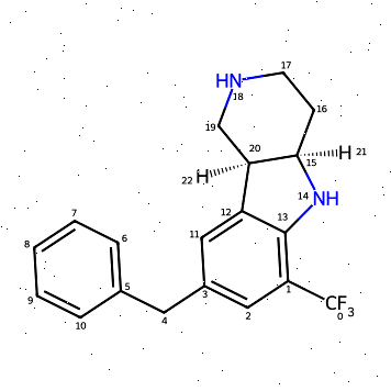 FC(F)(F)c1cc(Cc2ccccc2)cc2c1N[C@@H]1CCNC[C@H]21